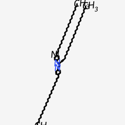 CCCCCCCCCCCCCCCCCCCCCCCC=Cc1ccc(N=CC(C#CCCCCCCCCCCCCCCCCCCCCCCCCCC)=Nc2ccc(C=CCCCCCCCCCCCCCCCCCCCCCCC)cc2)cc1.[Ni]